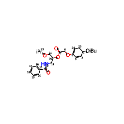 CC(C)COC1C=CC(OCC(=O)OC(CNC(=O)c2ccccc2)COC(C)C)=CC1